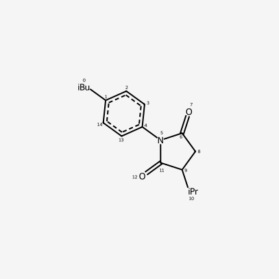 CCC(C)c1ccc(N2C(=O)CC(C(C)C)C2=O)cc1